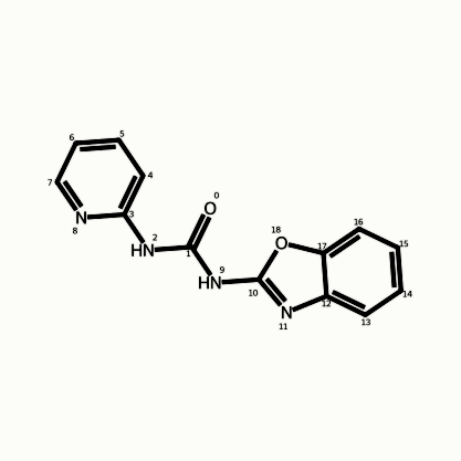 O=C(Nc1ccccn1)Nc1nc2ccccc2o1